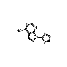 Oc1ncnc2c1cnn2-c1nccs1